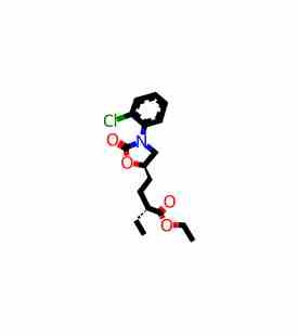 CCOC(=O)[C@H](CC)CC[C@@H]1CN(c2ccccc2Cl)C(=O)O1